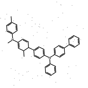 Cc1ccc(N(C)C2=CC(C)C(c3ccc(N(c4ccccc4)c4ccc(-c5ccccc5)cc4)cc3)C=C2)cc1